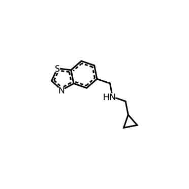 c1nc2cc(CNCC3CC3)ccc2s1